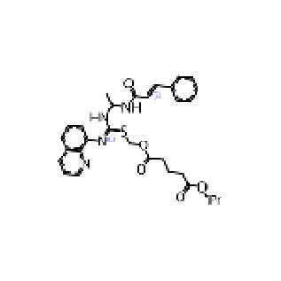 CC(NC(=O)/C=C/c1ccccc1)N/C(=N\c1cccc2cccnc12)SCOC(=O)CCCC(=O)OC(C)C